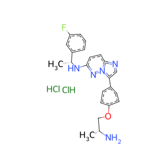 C[C@@H](N)COc1ccc(-c2cnc3ccc(N[C@H](C)c4cccc(F)c4)nn23)cc1.Cl.Cl